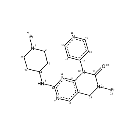 CC(C)N1CCC(Nc2ncc3c(n2)N(c2ccncc2)C(=O)N(C(C)C)C3)CC1